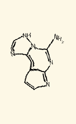 Nc1nc2nccc-2c2nc[nH]n12